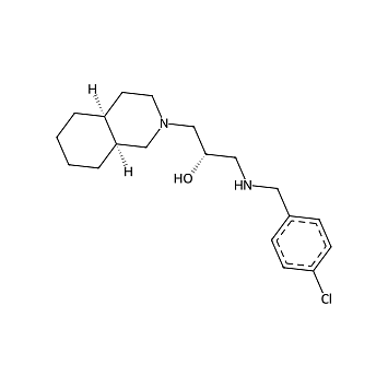 O[C@@H](CNCc1ccc(Cl)cc1)CN1CC[C@@H]2CCCC[C@@H]2C1